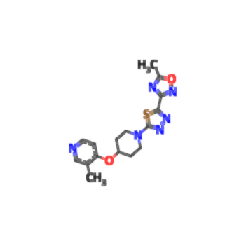 Cc1nc(-c2nnc(N3CCC(Oc4ccncc4C)CC3)s2)no1